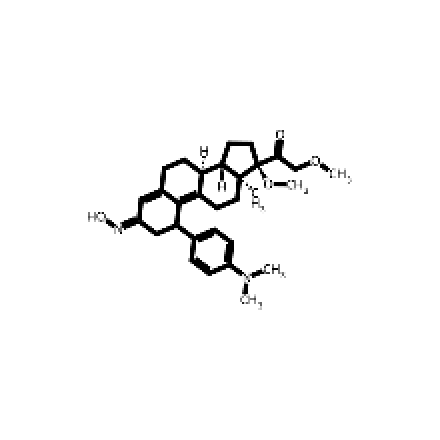 COCC(=O)[C@@]1(OC)CC[C@H]2[C@@H]3CCC4=C/C(=N\O)CC(c5ccc(N(C)C)cc5)C4=C3CC[C@@]21C